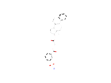 C[C@]12CCC3c4ccccc4CCC3C1CC[C@@H]2OC(=O)COC(=O)c1cccc(S(N)(=O)=O)c1